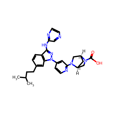 CC(C)CCc1ccc2c(Nc3cnccn3)nn(-c3ccnc(N4C[C@@H]5C[C@H]4CN5C(=O)O)c3)c2c1